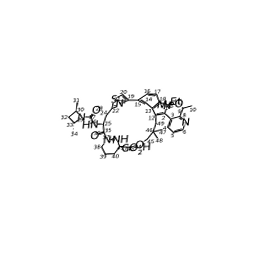 CCn1c(-c2cccnc2[C@H](C)OC)c2c3cc(ccc31)-c1csc(n1)C[C@H](NC(=O)N1[C@H](C)C[C@H]1C)C(=O)N1CCC[C@@](C(=O)O)(COCC(C)(C)C2)N1